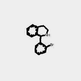 Brc1ccccc1C1NCCc2ccccc21